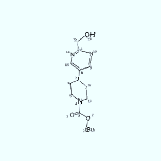 CC(C)(C)OC(=O)N1CCC(c2cnc(CO)nc2)CC1